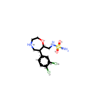 NS(=O)(=O)NCC1OCCNCC1c1ccc(Cl)c(Cl)c1